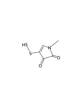 CN1C=C(SS)C(=O)C1=O